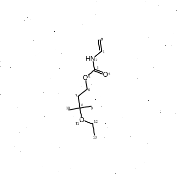 C=CNC(=O)OCCC(C)(C)OCC